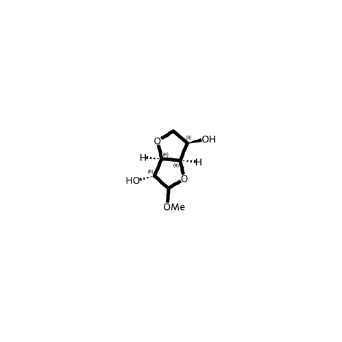 COC1O[C@H]2[C@H](OC[C@H]2O)[C@H]1O